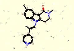 C/C(=C\n1c2c(c3cc(C)ccc31)C(=O)N(C)CC2)c1ccncc1